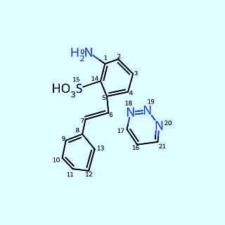 Nc1cccc(C=Cc2ccccc2)c1S(=O)(=O)O.c1cnnnc1